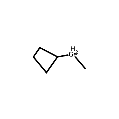 [CH3][GeH2][CH]1CCC1